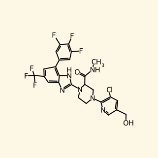 CNC(=O)C1CN(c2ncc(CO)cc2Cl)CCN1c1nc2cc(C(F)(F)F)cc(-c3cc(F)c(F)c(F)c3)c2[nH]1